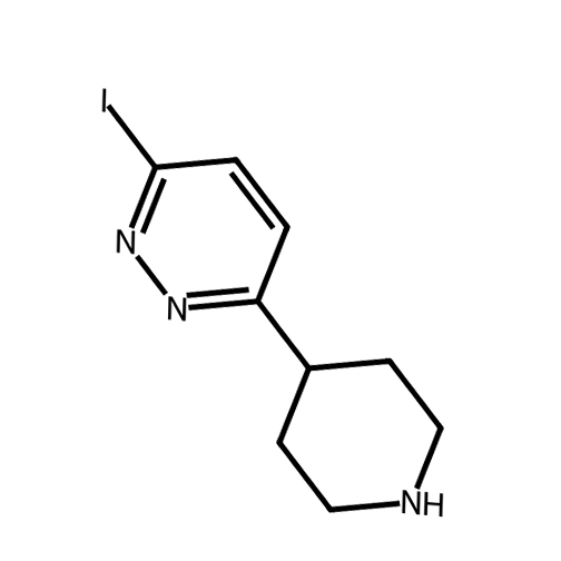 Ic1ccc(C2CCNCC2)nn1